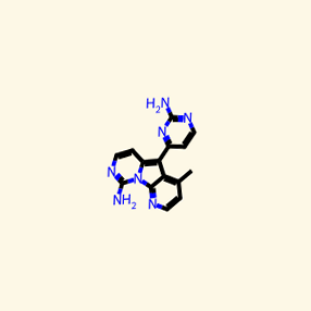 Cc1ccnc2c1c(-c1ccnc(N)n1)c1ccnc(N)n12